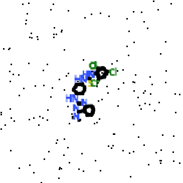 CN(C)c1nc(N[C@H]2CC[C@@H](NC(=S)Nc3c(Cl)cc(Cl)cc3Cl)CC2)nc2c1CCCC2